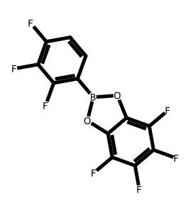 Fc1ccc(B2Oc3c(F)c(F)c(F)c(F)c3O2)c(F)c1F